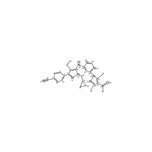 CCc1c(-c2ccc(C#N)cc2)nn(CC2CC2)c1Nc1cc(-n2nc(C)c(C(C)=O)c2C)ncn1